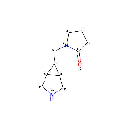 O=C1CCCN1CC1C2CNCC21